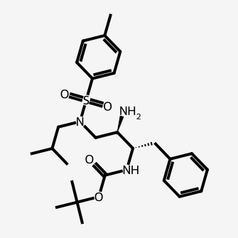 Cc1ccc(S(=O)(=O)N(CC(C)C)C[C@@H](N)[C@H](Cc2ccccc2)NC(=O)OC(C)(C)C)cc1